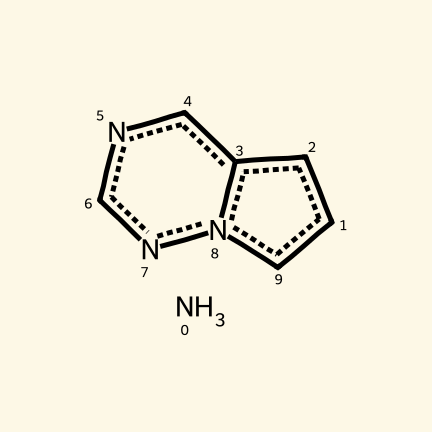 N.c1cc2cncnn2c1